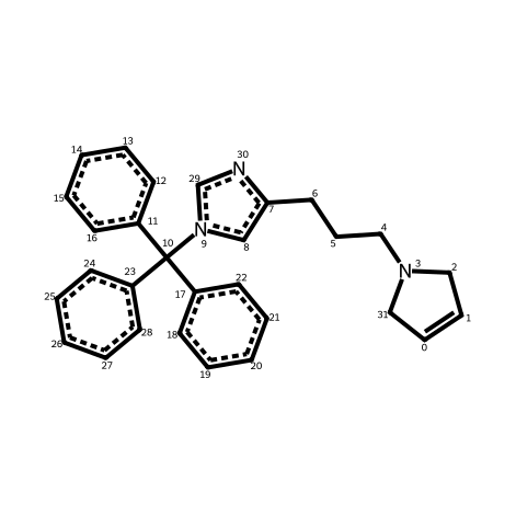 C1=CCN(CCCc2cn(C(c3ccccc3)(c3ccccc3)c3ccccc3)cn2)C1